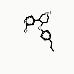 CCCc1ccc(OC2CCNCC2c2ccnc([O])c2)cc1